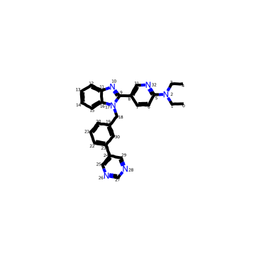 CCN(CC)c1ccc(-c2nc3ccccc3n2Cc2cccc(-c3cncnc3)c2)cn1